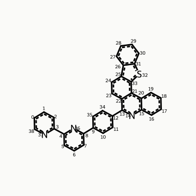 c1ccc(-c2cccc(-c3ccc(-c4nc5ccccc5c5c4ccc4c6ccccc6sc45)cc3)n2)nc1